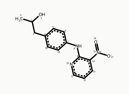 CC(O)Cc1ccc(Nc2nc[c]cc2[N+](=O)[O-])cc1